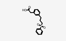 O=C(O)Cc1cccc(CCCS(=O)(=O)c2ccccc2)c1